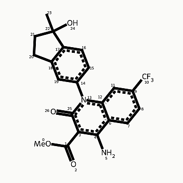 COC(=O)c1c(N)c2ccc(C(F)(F)F)cc2n(-c2ccc3c(c2)CCC3(C)O)c1=O